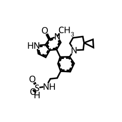 Cn1cc(-c2cc(CCN[SH](=O)=O)ccc2N2CCCC3(CC3)C2)c2cc[nH]c2c1=O